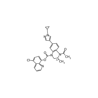 CC(=O)N1c2ccc(-c3cnn(C4CC4)c3)cc2N(C(=O)Oc2ccc(Cl)c3cccnc23)C[C@@H]1C